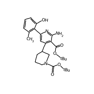 Cc1cccc(O)c1-c1cc(C2CCCN(C(=O)OC(C)(C)C)C2)c(C(=O)OC(C)(C)C)c(N)n1